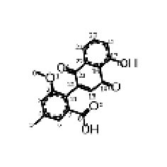 COc1cc(C)cc(C(=O)O)c1C1=CC(=O)c2c(O)cccc2C1=O